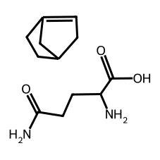 C1=C2CCC(C1)C2.NC(=O)CCC(N)C(=O)O